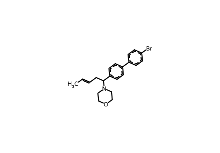 CC=CCC(c1ccc(-c2ccc(Br)cc2)cc1)N1CCOCC1